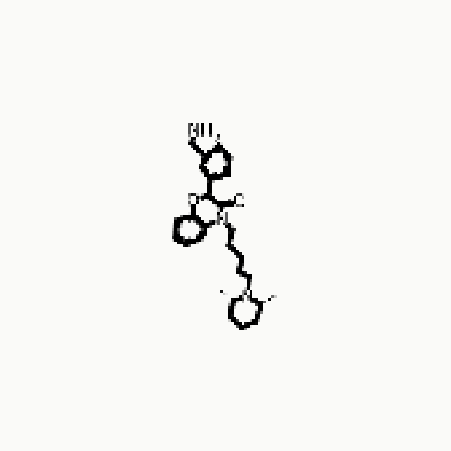 C[C@@H]1CCC[C@H](C)N1CCCCCN1C(=O)C(c2cccc(CN)c2)Oc2ccccc21